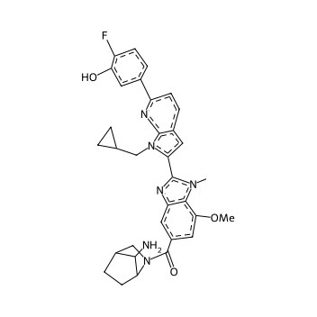 COc1cc(C(=O)N2CC3CCC2C3N)cc2nc(-c3cc4ccc(-c5ccc(F)c(O)c5)nc4n3CC3CC3)n(C)c12